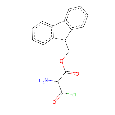 NC(C(=O)Cl)C(=O)OCC1c2ccccc2-c2ccccc21